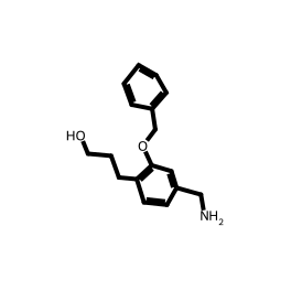 NCc1ccc(CCCO)c(OCc2ccccc2)c1